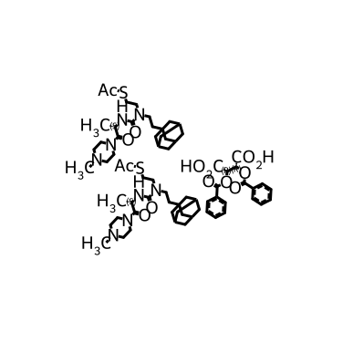 CC(=O)SCCN(CCC12CC3CC(CC(C3)C1)C2)C(=O)N[C@@H](C)C(=O)N1CCN(C)CC1.CC(=O)SCCN(CCC12CC3CC(CC(C3)C1)C2)C(=O)N[C@@H](C)C(=O)N1CCN(C)CC1.O=C(O[C@@H](C(=O)O)[C@@H](OC(=O)c1ccccc1)C(=O)O)c1ccccc1